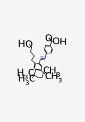 CC1(C)CCC(C)(C)c2cc(CCCCO)c(/C=C/c3ccc(C(=O)O)cc3)cc21